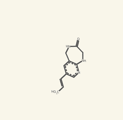 O=C(O)/C=C/c1cnc2c(c1)CNC(=O)CN2